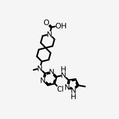 Cc1cc(Nc2nc(N(C)C3CCC4(CC3)CCN(C(=O)O)CC4)ncc2Cl)n[nH]1